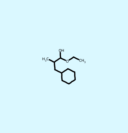 CCOC(O)C(C)CC1CCCCC1